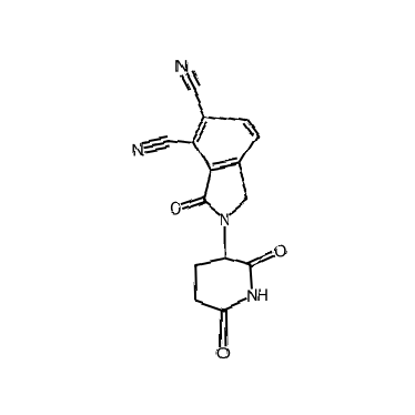 N#Cc1ccc2c(c1C#N)C(=O)N(C1CCC(=O)NC1=O)C2